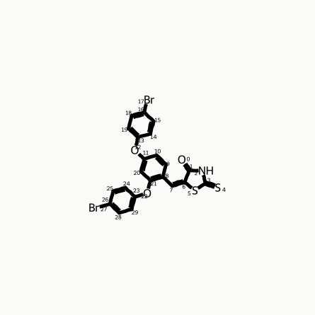 O=C1NC(=S)SC1=Cc1ccc(Oc2ccc(Br)cc2)cc1Oc1ccc(Br)cc1